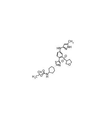 Cc1cc(Nc2ccc(-c3cnc([C@H]4CC[C@H](NC(=O)OC(C)C)CC4)s3)c(S(=O)(=O)C3CCOC3)c2)n[nH]1